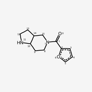 O=C(c1ccco1)N1CCC2NCCC2C1